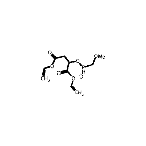 C=COC(=O)CC(O[PH](=O)COC)C(=O)OC=C